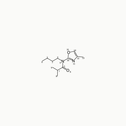 CCCCN(C(=O)C(C)C)c1nc(C)co1